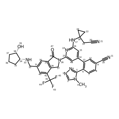 Cn1cnnc1-c1ccc(C#N)cc1-c1cc(NC2(CC#N)CC2)nc(N2Cc3c(cc(CN[C@@H]4CCC[C@@H]4O)cc3C(F)(F)F)C2=O)c1